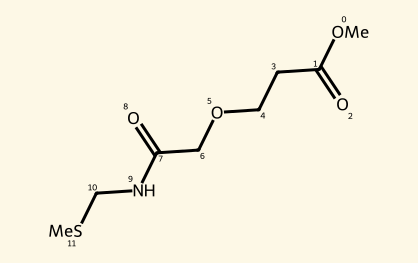 COC(=O)CCOCC(=O)NCSC